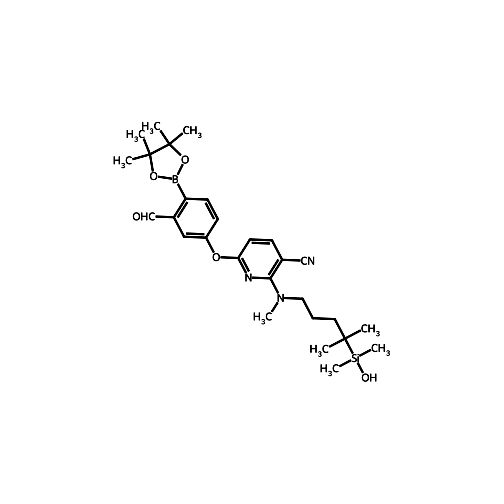 CN(CCCC(C)(C)[Si](C)(C)O)c1nc(Oc2ccc(B3OC(C)(C)C(C)(C)O3)c(C=O)c2)ccc1C#N